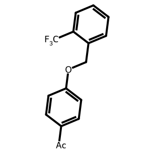 CC(=O)c1ccc(OCc2ccccc2C(F)(F)F)cc1